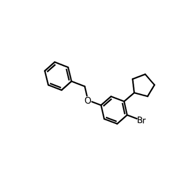 Brc1ccc(OCc2ccccc2)cc1C1CCCC1